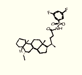 CC[C@H]1CC2C3CC[C@H]([C@H](C)CCC(=O)NS(=O)(=O)c4cc(F)cc(F)c4)[C@@]3(C)CCC2[C@@]2(C)CCCC[C@@H]12